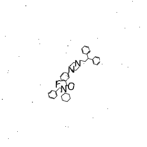 O=C(c1cc(N2CCN(CCC(c3ccccc3)c3ccccc3)CC2)ccc1F)N(Cc1ccccc1)C1CCCCC1